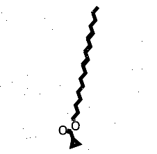 CCCC/C=C/C=C/C=C/CCCCCCCCOC(=O)C1CC1